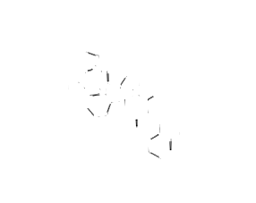 Cc1csc(Nc2cccc(C3(c4ccsc4)CC(=O)C(Sc4ccccc4Cl)C(=O)N3)n2)n1